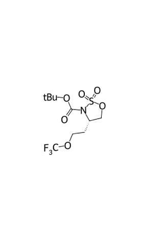 CC(C)(C)OC(=O)N1[C@@H](CCOC(F)(F)F)COS1(=O)=O